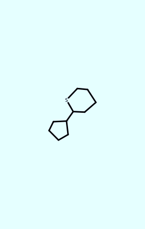 C1CCC([C]2CCCC2)SC1